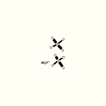 O=S(=O)([O-])[O-].O=S(=O)([O-])[O-].[Mn+2].[SH4+2]